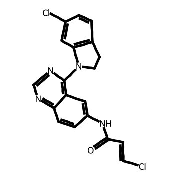 O=C(C=CCl)Nc1ccc2ncnc(N3CCc4ccc(Cl)cc43)c2c1